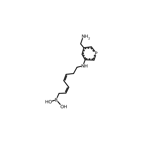 NCc1cpcc(NCC/C=C\C=C/CB(O)O)c1